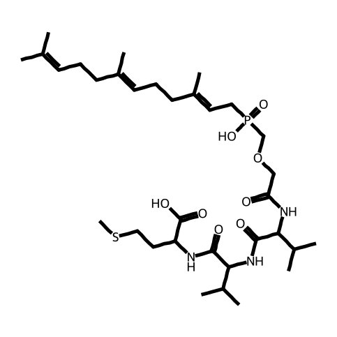 CSCCC(NC(=O)C(NC(=O)C(NC(=O)COCP(=O)(O)C/C=C(\C)CC/C=C(\C)CCC=C(C)C)C(C)C)C(C)C)C(=O)O